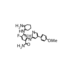 COc1ccc(-c2cncc(Nc3nc(N[C@@H]4CCCC[C@@H]4N)c(F)cc3C(N)=O)c2)cc1